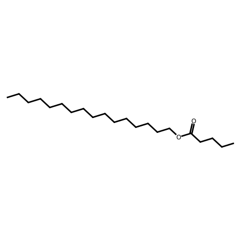 CCCCCCCCCCCCCCCCOC(=O)CCCC